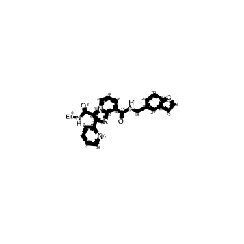 CCNC(=O)c1c(-c2ccccn2)nc2c(C(=O)NCc3ccc4occc4c3)cccn12